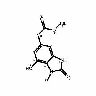 Cn1c(=O)[nH]c2cc(NC(=O)OC(C)(C)C)cc(O)c21